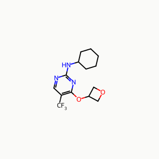 FC(F)(F)c1cnc(NC2CCCCC2)nc1OC1COC1